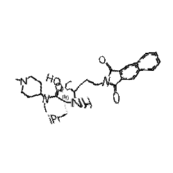 CC(C)C[C@@H](NC(CCN1C(=O)c2cc3ccccc3cc2C1=O)C(=O)O)C(=O)N(C)C1CCN(C)CC1